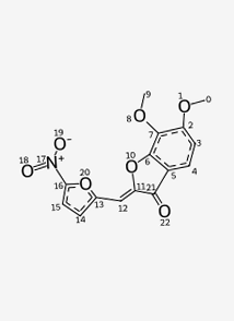 COc1ccc2c(c1OC)OC(=Cc1ccc([N+](=O)[O-])o1)C2=O